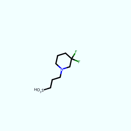 O=S(=O)(O)CCCN1CCCC(F)(F)C1